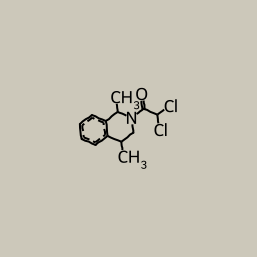 CC1CN(C(=O)C(Cl)Cl)C(C)c2ccccc21